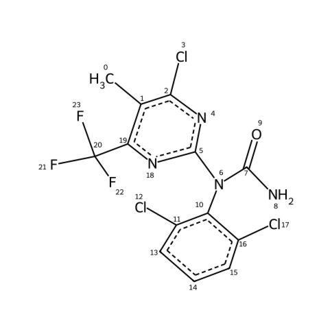 Cc1c(Cl)nc(N(C(N)=O)c2c(Cl)cccc2Cl)nc1C(F)(F)F